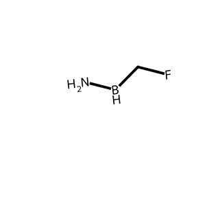 NBCF